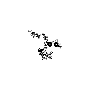 CCOC(=O)COC(=O)c1cc(Oc2ccc(C(F)(F)F)cc2Cl)ccc1[N+](=O)[O-].COc1nc(C)nc(NC(=O)NS(=O)(=O)c2ccsc2C(=O)O)n1.C[S+](C)C.O=C(O)CNCP(=O)([O-])O